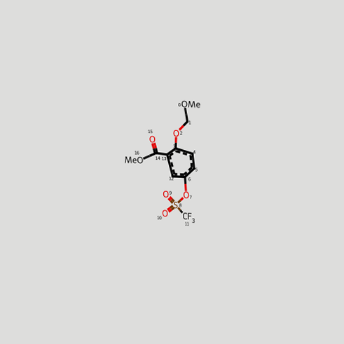 COCOc1ccc(OS(=O)(=O)C(F)(F)F)cc1C(=O)OC